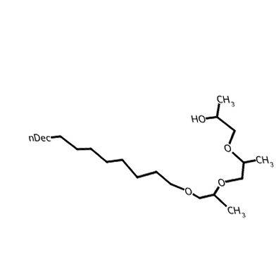 CCCCCCCCCCCCCCCCCCOCC(C)OCC(C)OCC(C)O